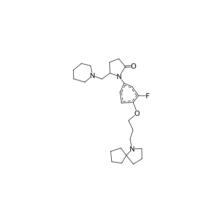 O=C1CCC(CN2CCCCC2)N1c1ccc(OCCCN2CCCC23CCCC3)c(F)c1